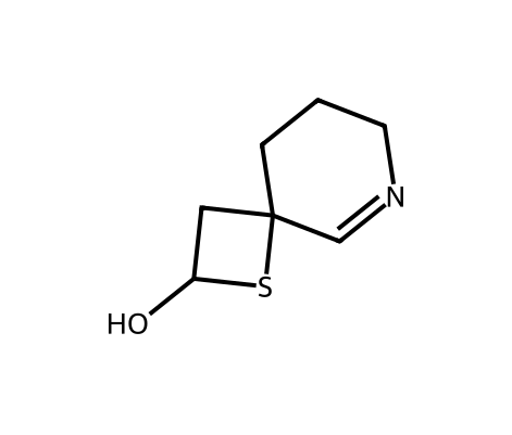 OC1CC2(C=NCCC2)S1